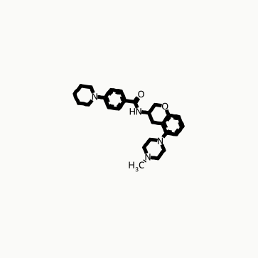 CN1CCN(c2cccc3c2CC(NC(=O)c2ccc(N4CCCCC4)cc2)CO3)CC1